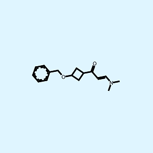 CN(C)C=CC(=O)C1CC(OCc2ccccc2)C1